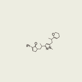 CC(C)C1=CCC(CC(C)c2cc(CC(C)C3=CCCCO3)n(C)n2)C1=O